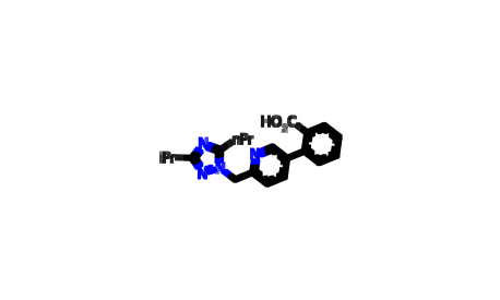 CCCc1nc(C(C)C)nn1Cc1ccc(-c2ccccc2C(=O)O)cn1